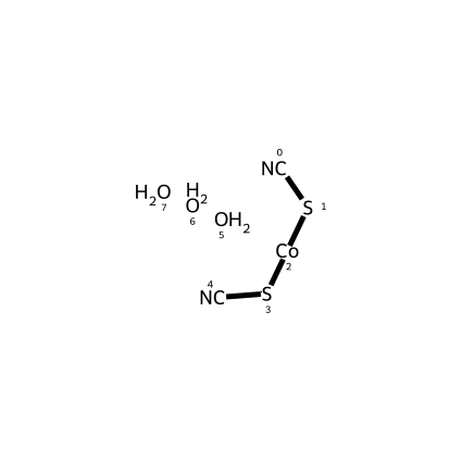 N#C[S][Co][S]C#N.O.O.O